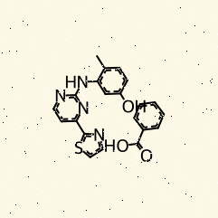 Cc1ccc(O)cc1Nc1nccc(-c2nccs2)n1.O=C(O)c1ccccc1